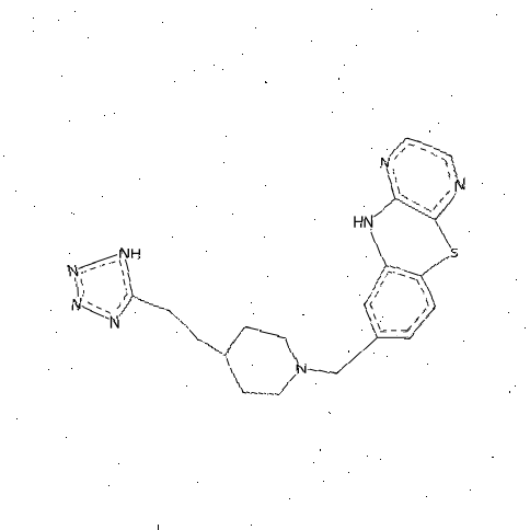 c1cnc2c(n1)Nc1cc(CN3CCC(CCc4nnn[nH]4)CC3)ccc1S2